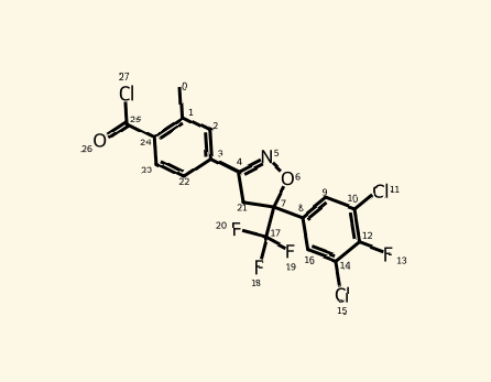 Cc1cc(C2=NOC(c3cc(Cl)c(F)c(Cl)c3)(C(F)(F)F)C2)ccc1C(=O)Cl